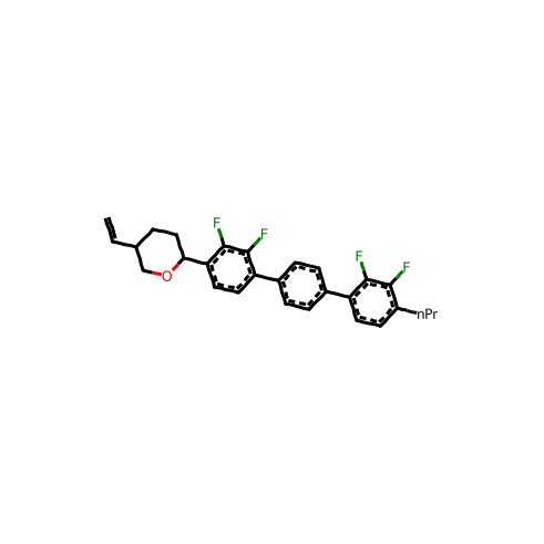 C=CC1CCC(c2ccc(-c3ccc(-c4ccc(CCC)c(F)c4F)cc3)c(F)c2F)OC1